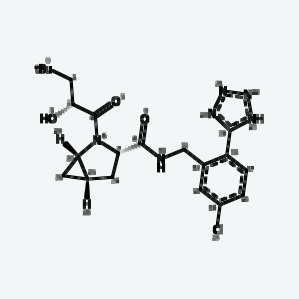 CC(C)(C)C[C@@H](O)C(=O)N1[C@H](C(=O)NCc2cc(Cl)ccc2-c2nnn[nH]2)C[C@@H]2C[C@@H]21